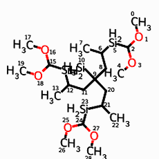 COC(OC)[SiH2]C(C)CC([SiH3])(CC(C)[SiH2]C(OC)OC)CC(C)[SiH2]C(OC)OC